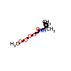 CCOCCOCCOCCOCCC(=O)NCCc1cc(C)ccc1C